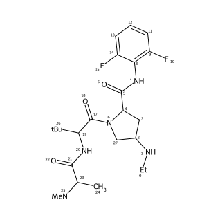 CCNC1CC(C(=O)Nc2c(F)cccc2F)N(C(=O)C(NC(=O)C(C)NC)C(C)(C)C)C1